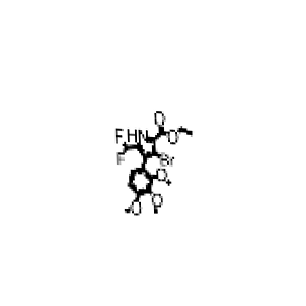 CCOC(=O)c1[nH]c(C(F)F)c(-c2ccc(OC)c(OC)c2OC)c1Br